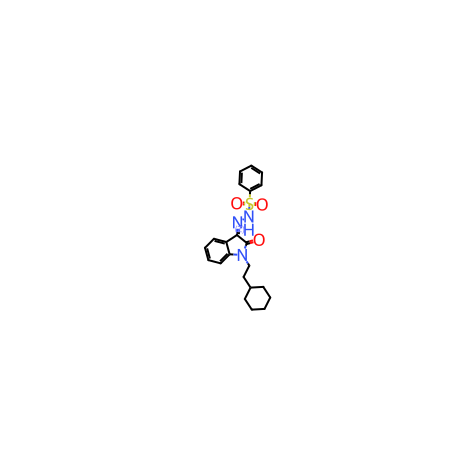 O=C1/C(=N\NS(=O)(=O)c2ccccc2)c2ccccc2N1CCC1CCCCC1